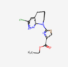 CCOC(=O)c1csc(N2CCCc3cc(Cl)nnc32)n1